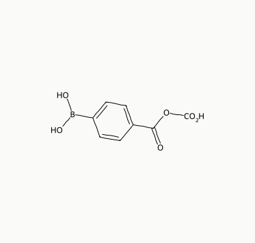 O=C(O)OC(=O)c1ccc(B(O)O)cc1